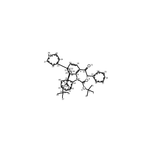 CC(C)(C)OC(=O)N1C2=C(C(=O)Cc3ccccc3)C=CC3N(c4ccncc4)CN(C(=O)OC(C)(C)C)C23c2ccccc21